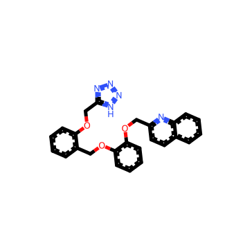 c1ccc(OCc2nnn[nH]2)c(COc2ccccc2OCc2ccc3ccccc3n2)c1